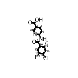 O=C(O)c1ccc(NC(=O)c2cc(F)c(Cl)cc2Cl)nc1